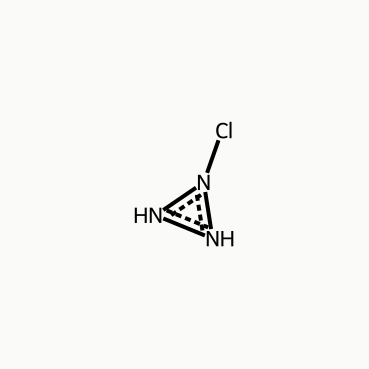 Cln1[nH][nH]1